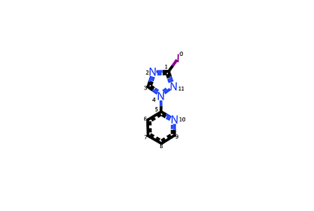 Ic1ncn(-c2ccccn2)n1